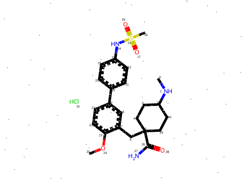 CNC1CCC(Cc2cc(-c3ccc(NS(C)(=O)=O)cc3)ccc2OC)(C(N)=O)CC1.Cl